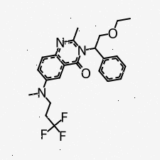 CCOCC(c1ccccc1)n1c(C)nc2ccc(N(C)CCC(F)(F)F)cc2c1=O